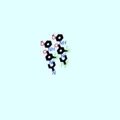 COc1cccc(NC(=O)c2ccc(N3CCC(C#N)CC3)c(C(F)(F)F)c2)c1.COc1cccc(NC(=O)c2ccc(N3CCC(C(F)(F)F)CC3)c(C(F)(F)F)c2)c1